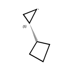 [CH]1C[C@H]1C1CCC1